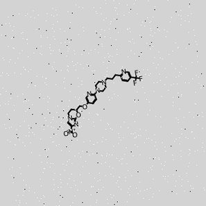 O=[N+]([O-])c1cn2c(n1)OC(COc1ccc(N3CCN(CCCc4ccc(C(F)(F)F)cn4)CC3)nc1)CC2